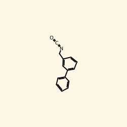 O=C=NCc1cccc(-c2ccccc2)c1